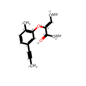 CC#Cc1ccc(C)c(O/C(=C\OC)C(=O)OC)c1